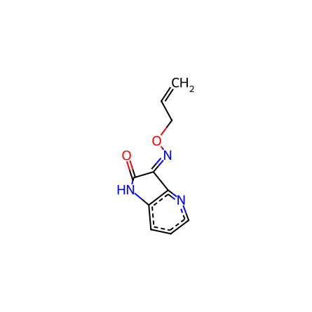 C=CCON=C1C(=O)Nc2cccnc21